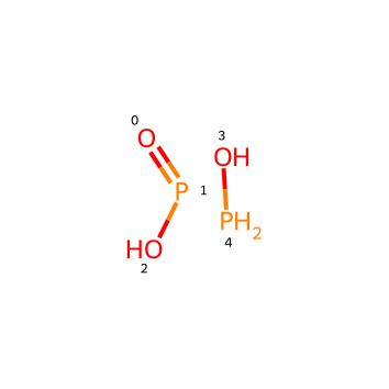 O=PO.OP